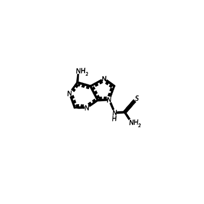 NC(=S)Nn1cnc2c(N)ncnc21